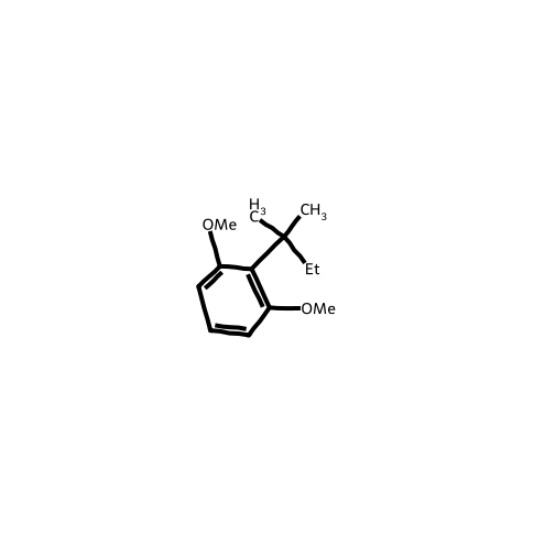 CCC(C)(C)c1c(OC)cccc1OC